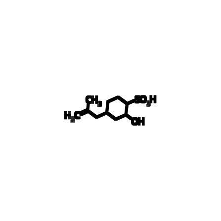 C=C(C)CC1CCC(S(=O)(=O)O)C(O)C1